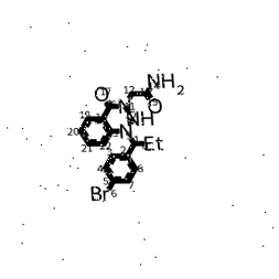 CCC(c1ccc(Br)cc1)N1NN(CC(N)=O)C(=O)c2ccccc21